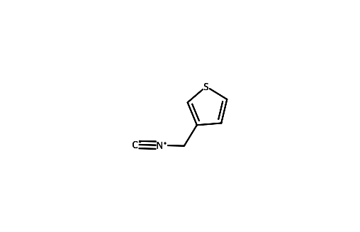 [C-]#[N+]Cc1ccsc1